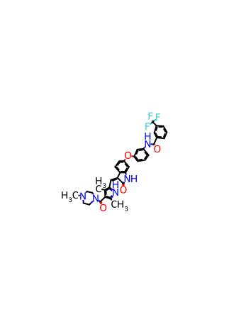 Cc1[nH]c(/C=C2\C(=O)Nc3cc(Oc4cccc(NC(=O)c5cccc(C(F)(F)F)c5)c4)ccc32)c(C)c1C(=O)N1CCN(C)CC1